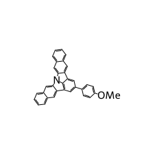 COc1ccc(-c2cc3c4cc5ccccc5cc4n4c5cc6ccccc6cc5c(c2)c34)cc1